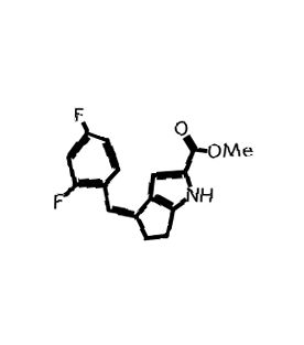 COC(=O)c1cc2c([nH]1)CCC2=Cc1ccc(F)cc1F